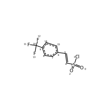 O=S(=O)(Cl)C=Cc1ccc(C(F)(F)F)cc1